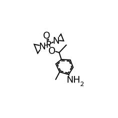 Cc1cc(C(C)OP(=O)(N2CC2)N2CC2)ccc1N